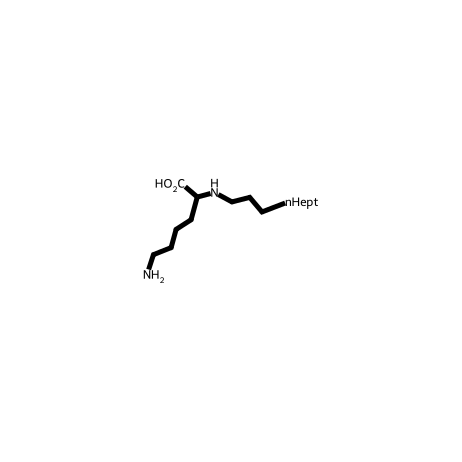 CCCCCCCCCCNC(CCCCN)C(=O)O